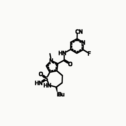 CC[C@H](C)C1CCc2c(cn(C)c2C(=O)Nc2cc(F)nc(C#N)c2)S(=N)(=O)N1